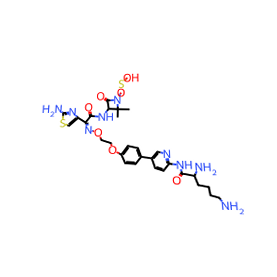 CC1(C)C(NC(=O)/C(=N\OCCOc2ccc(-c3ccc(NC(=O)C(N)CCCCN)nc3)cc2)c2csc(N)n2)C(=O)N1OSO